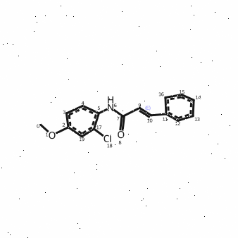 COc1ccc(NC(=O)/C=C/c2ccccc2)c(Cl)c1